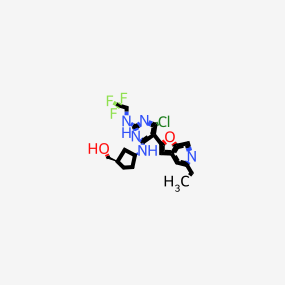 CCc1cc2cc(-c3c(Cl)nc(NCC(F)(F)F)nc3N[C@H]3CC[C@@H](CO)C3)oc2cn1